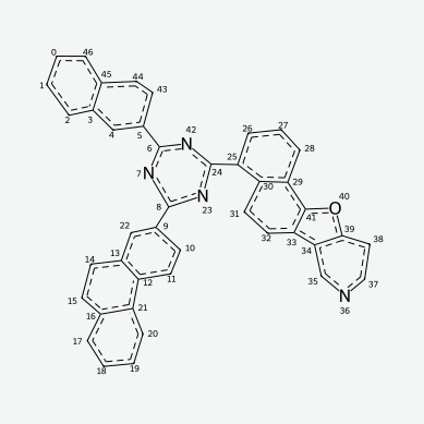 c1ccc2cc(-c3nc(-c4ccc5c(ccc6ccccc65)c4)nc(-c4cccc5c4ccc4c6cnccc6oc54)n3)ccc2c1